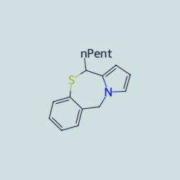 CCCCCC1Sc2ccccc2Cn2cccc21